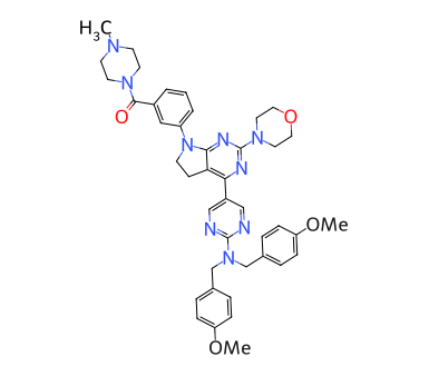 COc1ccc(CN(Cc2ccc(OC)cc2)c2ncc(-c3nc(N4CCOCC4)nc4c3CCN4c3cccc(C(=O)N4CCN(C)CC4)c3)cn2)cc1